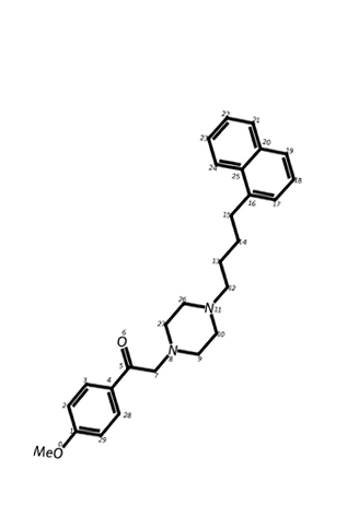 COc1ccc(C(=O)CN2CCN(CCCCc3cccc4ccccc34)CC2)cc1